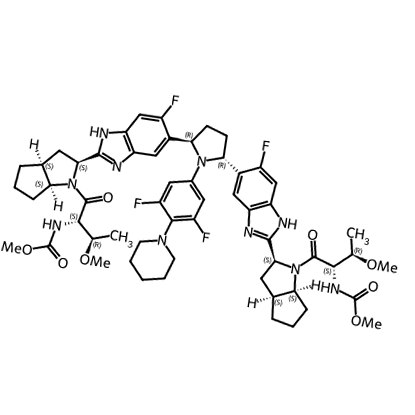 COC(=O)N[C@H](C(=O)N1[C@H](c2nc3cc([C@H]4CC[C@H](c5cc6nc([C@@H]7C[C@@H]8CCC[C@@H]8N7C(=O)[C@@H](NC(=O)OC)[C@@H](C)OC)[nH]c6cc5F)N4c4cc(F)c(N5CCCCC5)c(F)c4)c(F)cc3[nH]2)C[C@@H]2CCC[C@@H]21)[C@@H](C)OC